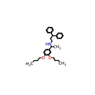 CCCCOc1ccc(C(C)NCCC(c2ccccc2)c2ccccc2)cc1OCCCC